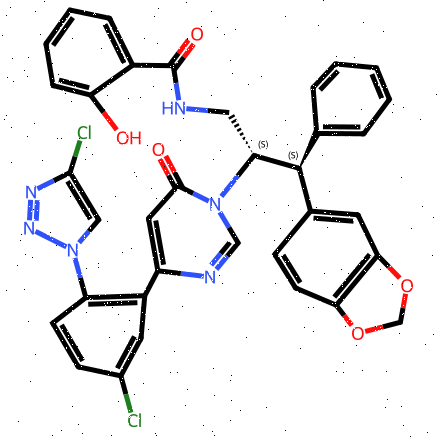 O=C(NC[C@H]([C@@H](c1ccccc1)c1ccc2c(c1)OCO2)n1cnc(-c2cc(Cl)ccc2-n2cc(Cl)nn2)cc1=O)c1ccccc1O